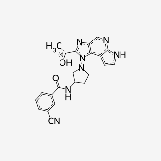 C[C@@H](O)c1nc2cnc3[nH]ccc3c2n1N1CCC(NC(=O)c2cccc(C#N)c2)C1